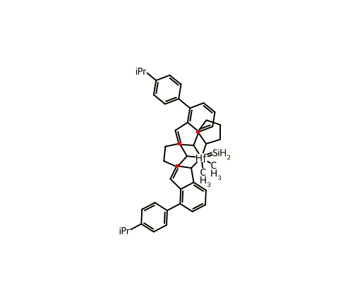 CC(C)c1ccc(-c2cccc3c2C=C[CH]3[Hf]([CH3])([CH3])(=[SiH2])([CH]2CCCC2)([CH]2CCCC2)[CH]2C=Cc3c(-c4ccc(C(C)C)cc4)cccc32)cc1